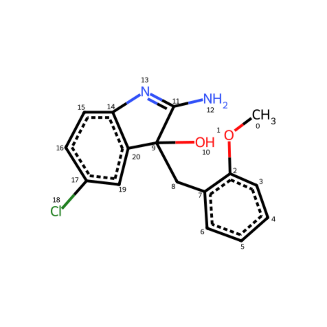 COc1ccccc1CC1(O)C(N)=Nc2ccc(Cl)cc21